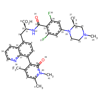 Cc1cc(C(F)(F)F)c(-c2ccc(C[C@H](NC(=O)c3c(F)cc(N4CCN(C)C[C@@H]4C(F)(F)F)cc3F)C(=O)O)c3cccnc23)c(=O)n1C